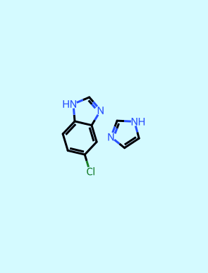 Clc1ccc2[nH]cnc2c1.c1c[nH]cn1